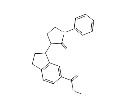 O=C(NO)c1ccc2c(c1)C(C1CCN(c3ccccc3)C1=O)CC2